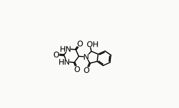 O=C1NC(=O)C(N2C(=O)c3ccccc3C2O)C(=O)N1